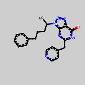 CC(CCCc1ccccc1)n1nnc2c(=O)[nH]c(Cc3ccncc3)nc21